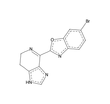 Brc1ccc2nc(C3=NCCc4[nH]cnc43)oc2c1